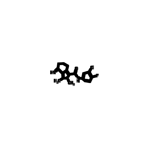 Cc1c2c(c(C(=O)Nc3ccc(F)c(Cl)c3)n1C)CCCC2=N